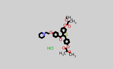 COC(C)C(=O)Oc1ccc(-c2sc3cc(OC(=O)C(C)OC)ccc3c2C(=O)c2ccc(OCCN3CCCCC3)cc2)cc1.Cl